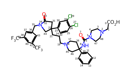 O=C(O)CN1CCN(C(=O)NC2(c3ccccc3)CCN(CCCC3(c4ccc(Cl)c(Cl)c4)CC(=O)N(Cc4cc(C(F)(F)F)cc(C(F)(F)F)c4)C3)CC2)CC1